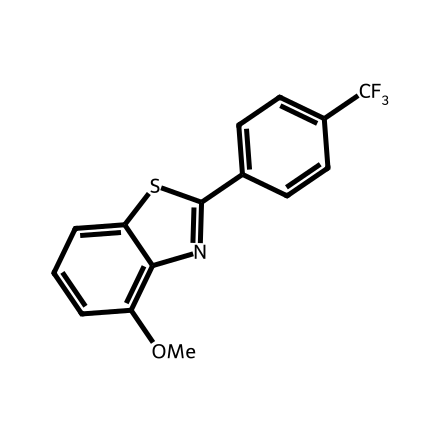 COc1cccc2sc(-c3ccc(C(F)(F)F)cc3)nc12